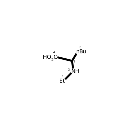 CCCCC(NCC)C(=O)O